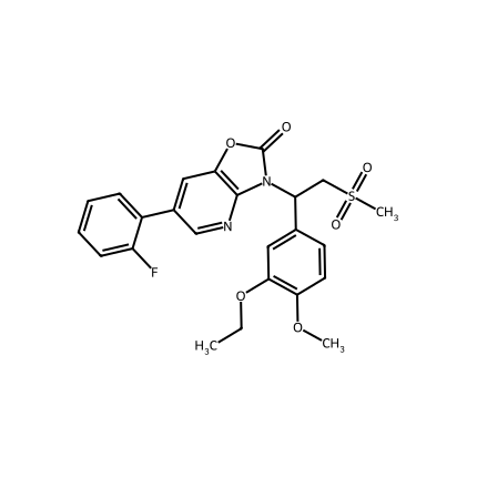 CCOc1cc(C(CS(C)(=O)=O)n2c(=O)oc3cc(-c4ccccc4F)cnc32)ccc1OC